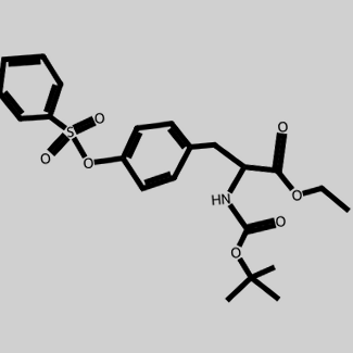 CCOC(=O)C(Cc1ccc(OS(=O)(=O)c2ccccc2)cc1)NC(=O)OC(C)(C)C